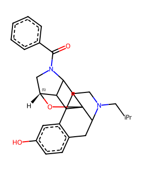 CC(C)CN1CCC23c4cc(O)ccc4CC1C21CCC2C3[C@@H](CN2C(=O)c2ccccc2)O1